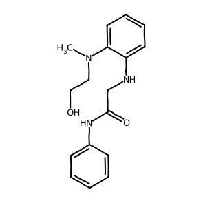 CN(CCO)c1ccccc1NCC(=O)Nc1ccccc1